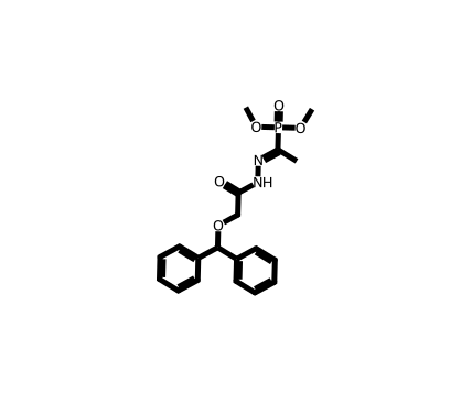 COP(=O)(OC)/C(C)=N/NC(=O)COC(c1ccccc1)c1ccccc1